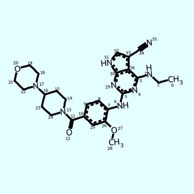 CCNc1nc(Nc2ccc(C(=O)N3CCC(N4CCOCC4)CC3)cc2OC)nc2[nH]cc(C#N)c12